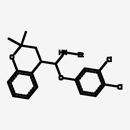 CCNC(Oc1ccc(Cl)c(Cl)c1)C1CC(C)(C)Oc2ccccc21